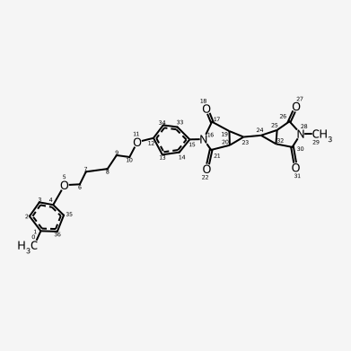 Cc1ccc(OCCCCCOc2ccc(N3C(=O)C4C(C3=O)C4C3C4C(=O)N(C)C(=O)C43)cc2)cc1